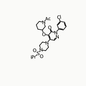 CC(=O)N1CCCC(Oc2c(N3CCN(S(=O)(=O)C(C)C)CC3)cnn(-c3cccc(Cl)c3)c2=O)C1